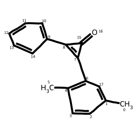 Cc1ccc(C)c(-c2c(-c3ccccc3)c2=O)c1